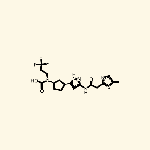 Cc1cnc(CC(=O)Nc2cc([C@H]3CC[C@@H](N(CCC(F)(F)F)C(=O)O)C3)[nH]n2)s1